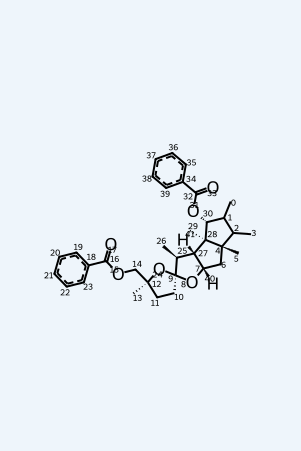 CC1C(C)[C@]2(C)C[C@@H]3O[C@]4(CC[C@@](C)(COC(=O)c5ccccc5)O4)[C@@H](C)[C@@H]3[C@@]2(C)[C@@H]1OC(=O)c1ccccc1